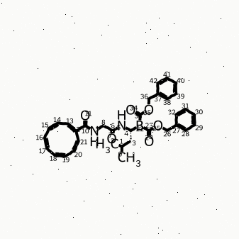 CC(C)C[C@H](NC(=O)CNC(=O)c1ccccccccc1)B(C(=O)OCc1ccccc1)C(=O)OCc1ccccc1